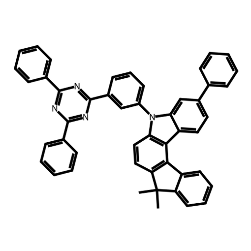 CC1(C)c2ccccc2-c2c1ccc1c2c2ccc(-c3ccccc3)cc2n1-c1cccc(-c2nc(-c3ccccc3)nc(-c3ccccc3)n2)c1